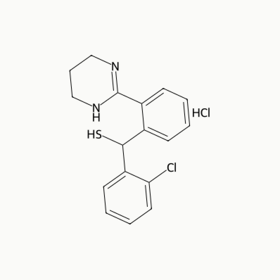 Cl.SC(c1ccccc1Cl)c1ccccc1C1=NCCCN1